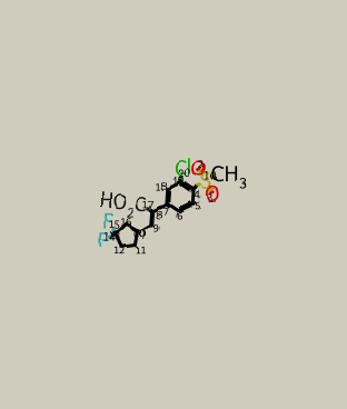 CS(=O)(=O)c1ccc(C(C[C@H]2CCC(F)(F)C2)C(=O)O)cc1Cl